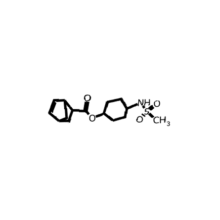 CS(=O)(=O)NC1CCC(OC(=O)C2CC3C=CC2C3)CC1